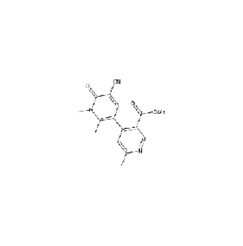 COC(=O)c1cnc(C)cc1-c1cc(C#N)c(=O)n(C)c1C